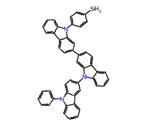 [SiH3]c1ccc(-n2c3ccccc3c3ccc(-c4ccc5c6ccccc6n(-c6ccc7c(c6)c6ccccc6n7-c6ccccc6)c5c4)cc32)cc1